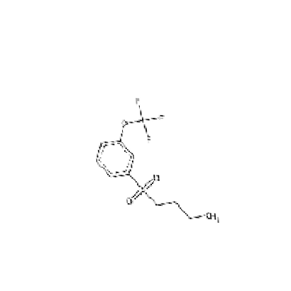 CCCCS(=O)(=O)c1cccc(OC(F)(F)F)c1